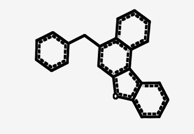 c1ccc(Cc2cc3oc4ccccc4c3c3ccccc23)cc1